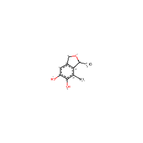 O=CC1OCc2cc(O)c(O)c([N+](=O)[O-])c21